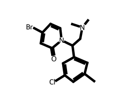 Cc1cc(Cl)cc(C(CN(C)C)n2ccc(Br)cc2=O)c1